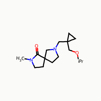 CC(C)OCC1(CN2CCC3(CCN(C)C3=O)C2)CC1